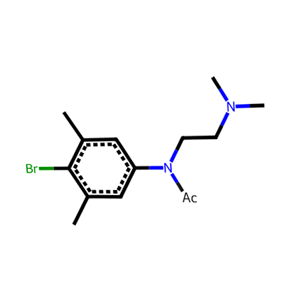 CC(=O)N(CCN(C)C)c1cc(C)c(Br)c(C)c1